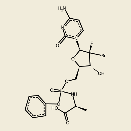 C[C@H](NP(=O)(OC[C@H]1O[C@@H](n2ccc(N)nc2=O)[C@](F)(Br)[C@@H]1O)Oc1ccccc1)C(=O)O